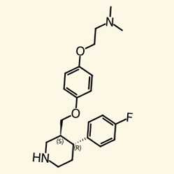 CN(C)CCOc1ccc(OC[C@@H]2CNCC[C@H]2c2ccc(F)cc2)cc1